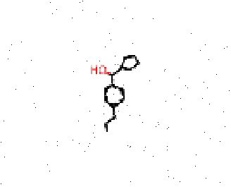 CCCc1ccc(C(O)C2CCCC2)cc1